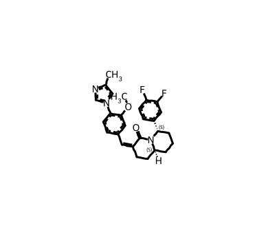 COc1cc(C=C2CC[C@@H]3CCC[C@@H](c4ccc(F)c(F)c4)N3C2=O)ccc1-n1cnc(C)c1